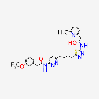 Cc1cccc(CC(O)Nc2nnc(CCCCc3ccc(NC(=O)Cc4cccc(OC(F)(F)F)c4)nn3)s2)n1